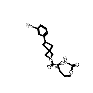 CC(C)c1cccc(C2CC3(C2)CN(C(=O)[C@@H]2CCCOC(=O)NC2)C3)c1